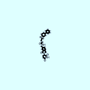 O=C1CCC(N2Cc3ccc(CNC(=O)OCc4nc5c(s4)CC(c4ccccc4)CC5)cc3C2=O)C(=O)N1